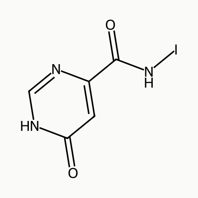 O=C(NI)c1cc(=O)[nH]cn1